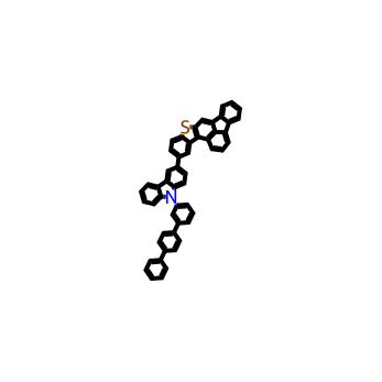 c1ccc(-c2ccc(-c3cccc(-n4c5ccccc5c5cc(-c6ccc7sc8cc9c%10c(cccc%10c8c7c6)-c6ccccc6-9)ccc54)c3)cc2)cc1